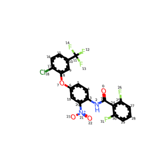 O=C(Nc1ccc(Oc2cc(C(F)(F)F)ccc2Cl)cc1[N+](=O)[O-])c1c(F)cccc1F